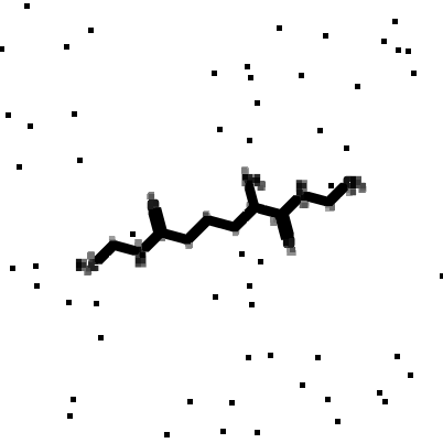 CCNC(=O)CCCC(N)C(=O)NCC